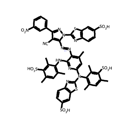 Cc1cc(N(c2nc3ccc(S(=O)(=O)O)cc3s2)c2c(C)cc(C)c(S(=O)(=O)O)c2C)nc(Nc2c(C)cc(C)c(S(=O)(=O)O)c2C)c1/N=N/c1c(C#N)c(-c2cccc([N+](=O)[O-])c2)nn1-c1nc2ccc(S(=O)(=O)O)cc2s1